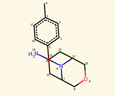 Cc1ccc(CN2C3COCC2CC(N)C3)cc1